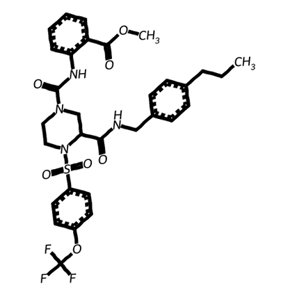 CCCc1ccc(CNC(=O)C2CN(C(=O)Nc3ccccc3C(=O)OC)CCN2S(=O)(=O)c2ccc(OC(F)(F)F)cc2)cc1